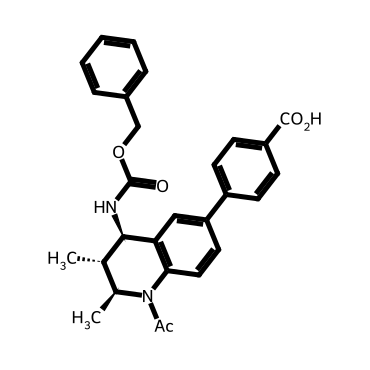 CC(=O)N1c2ccc(-c3ccc(C(=O)O)cc3)cc2[C@H](NC(=O)OCc2ccccc2)[C@@H](C)[C@@H]1C